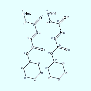 CCCCCCOC(=O)N=NC(=O)OC1CCCCC1.CCCCCOC(=O)N=NC(=O)OC1CCCCC1